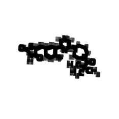 CC(C)(C)C(=O)N1CCCN(c2cncc(-c3cc(/C=C4/SC(=O)NC4=O)ccc3F)n2)CC1